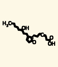 CCCCC[C@H](O)CCC1=CCC(=O)[C@@H]1CCC=C=CCC(=O)O